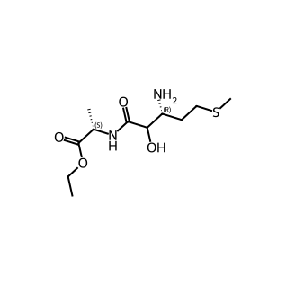 CCOC(=O)[C@H](C)NC(=O)C(O)[C@H](N)CCSC